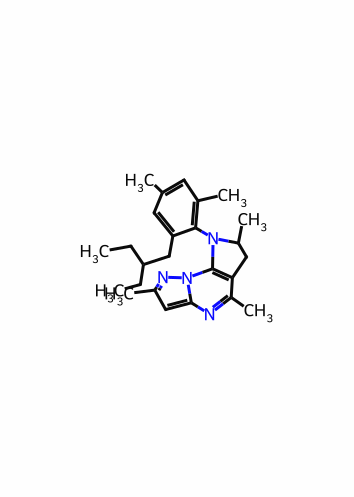 CCC(CC)Cc1cc(C)cc(C)c1N1c2c(c(C)nc3cc(C)nn23)CC1C